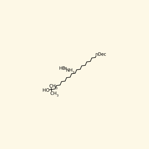 Br.CCCCCCCCCCCCCCCCCCCCCCCCCCCC(C)(C)O.N